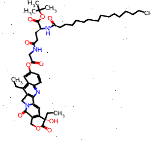 CCCCCCCCCCCCCCCC(=O)N[C@@H](CCC(=O)NCC(=O)Oc1ccc2nc3c(c(CC)c2c1)Cn1c-3cc2c(c1=O)COC(=O)[C@]2(O)CC)C(=O)OC(C)(C)C